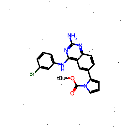 CC(C)(C)OC(=O)n1cccc1-c1ccc2nc(N)nc(Nc3cccc(Br)c3)c2c1